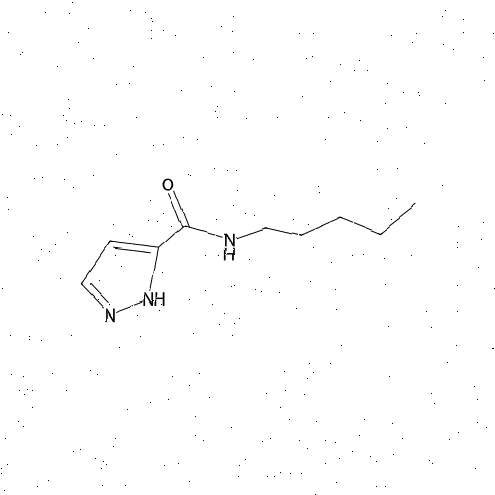 CCCCCNC(=O)c1ccn[nH]1